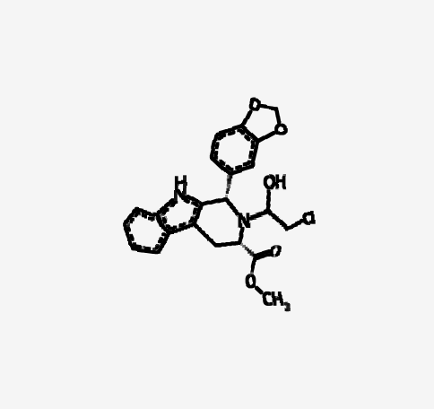 COC(=O)[C@@H]1Cc2c([nH]c3ccccc23)[C@H](c2ccc3c(c2)OCO3)N1C(O)CCl